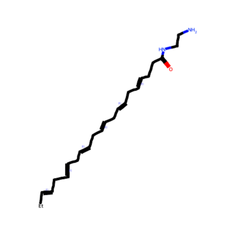 CC/C=C/C/C=C/C/C=C/C/C=C/C/C=C/C/C=C/CCC(=O)NCCN